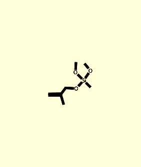 C=C(C)CO[Si](C)(OC)OC